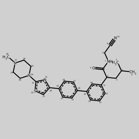 CC(C)CC(C(=O)NCC#N)c1cccc(-c2ccc(-c3csc(N4CCN(C)CC4)n3)cc2)c1